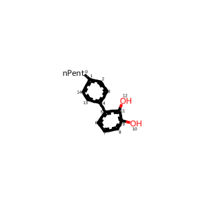 CCCCCc1ccc(-c2cccc(O)c2O)cc1